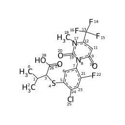 CC(C)C(Sc1cc(-n2c(=O)cc(C(F)(F)F)n(C)c2=O)c(F)cc1Cl)C(=O)O